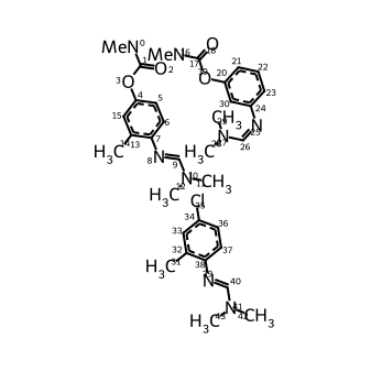 CNC(=O)Oc1ccc(N=CN(C)C)c(C)c1.CNC(=O)Oc1cccc(/N=C\N(C)C)c1.Cc1cc(Cl)ccc1N=CN(C)C